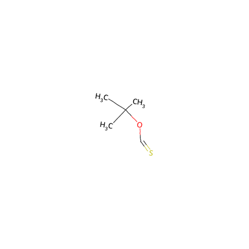 CC(C)(C)OC=S